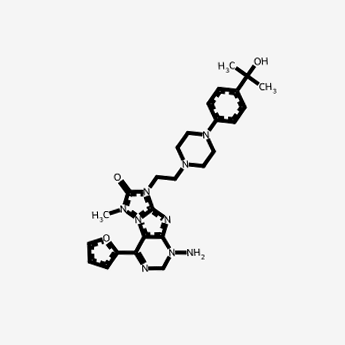 Cn1c(=O)n(CCN2CCN(c3ccc(C(C)(C)O)cc3)CC2)c2nc3c(n21)C(c1ccco1)=NCN3N